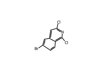 Clc1cc2cc(Br)ccc2c(Cl)n1